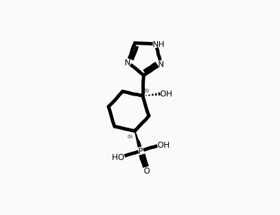 O=P(O)(O)[C@H]1CCC[C@@](O)(c2nc[nH]n2)C1